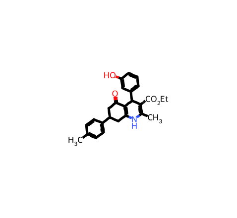 CCOC(=O)C1=C(C)NC2=C(C(=O)CC(c3ccc(C)cc3)C2)C1c1cccc(O)c1